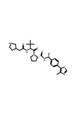 Cc1ncsc1-c1ccc([C@H](C)NC(=O)[C@@H]2CCCN2C(=O)[C@@H](NC(=O)CC2CCNC2)C(C)(C)C)cc1